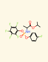 CC(C)OC(=O)C(C)NP(=O)(Oc1ccc(F)cc1)Oc1c(F)c(F)c(F)c(F)c1F